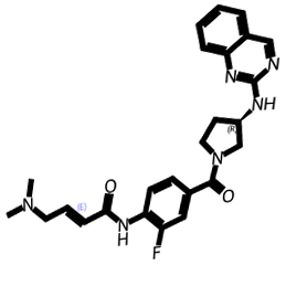 CN(C)C/C=C/C(=O)Nc1ccc(C(=O)N2CC[C@@H](Nc3ncc4ccccc4n3)C2)cc1F